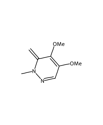 C=C1C(OC)=C(OC)C=NN1C